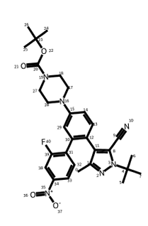 Cc1nn(C(C)(C)C)c(C#N)c1-c1ccc(N2CCN(C(=O)OC(C)(C)C)CC2)cc1-c1ccc([N+](=O)[O-])cc1F